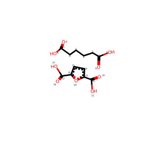 O=C(O)CCCCC(=O)O.O=C(O)c1ccc(C(=O)O)o1